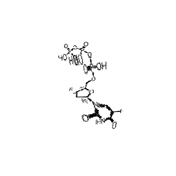 O=c1[nH]c(=O)n([C@H]2C[C@H](F)[C@@H](COP(=O)(O)OP(=O)(O)OP(=O)(O)O)O2)cc1F